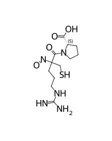 N=C(N)NCCCC(CS)(N=O)C(=O)N1CCC[C@H]1C(=O)O